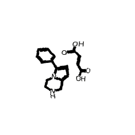 O=C(O)/C=C/C(=O)O.c1ccc(-c2ccc3n2CCNC3)cc1